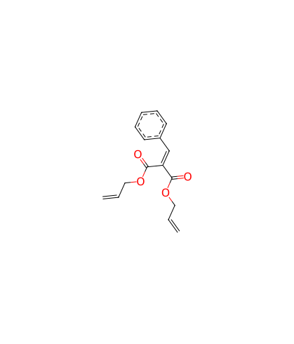 C=CCOC(=O)C(=Cc1ccccc1)C(=O)OCC=C